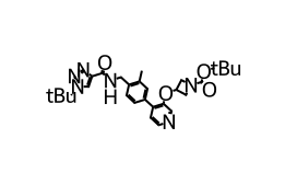 Cc1cc(-c2ccncc2OC2CN(C(=O)OC(C)(C)C)C2)ccc1CNC(=O)c1cn(C(C)(C)C)nn1